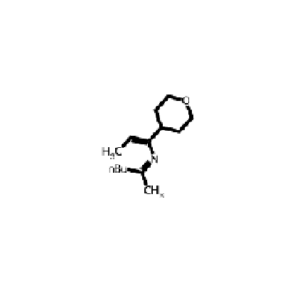 C/C=C(\N=C(\C)CCCC)C1CCOCC1